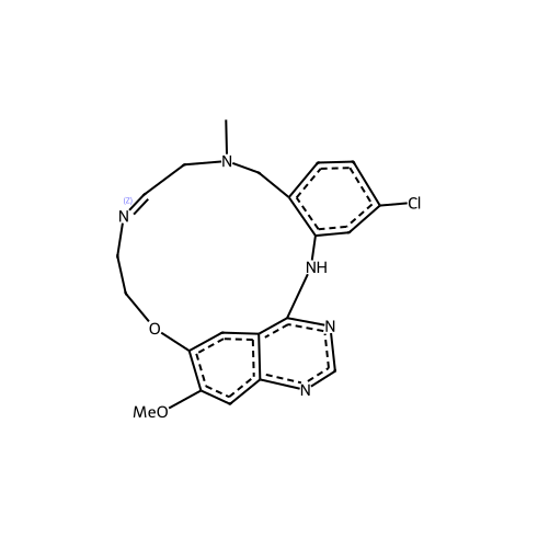 COc1cc2ncnc3c2cc1OCC/N=C\CN(C)Cc1ccc(Cl)cc1N3